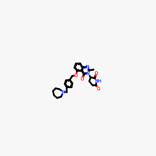 Cc1nc2cccc(OCc3ccc(CN4CCCCCC4)cc3)c2c(=O)n1C1CCC(=O)NC1=O